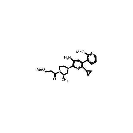 COCCC(=O)N1CCN(c2nc(C3CC3)c(-c3cccnc3OC)cc2N)C[C@H]1C